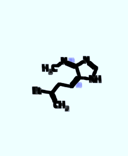 C=C(CC)C/C=C1/NC=N/C1=N/C